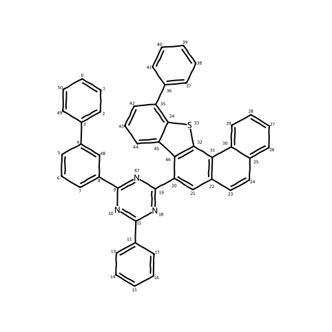 c1ccc(-c2cccc(-c3nc(-c4ccccc4)nc(-c4cc5ccc6ccccc6c5c5sc6c(-c7ccccc7)cccc6c45)n3)c2)cc1